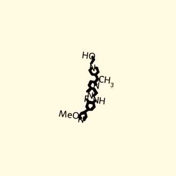 COc1cc(-c2ccc(Nc3cc4nc([C@@H](C)C5CCN(CCO)CC5)ccc4cn3)c(F)c2)ccn1